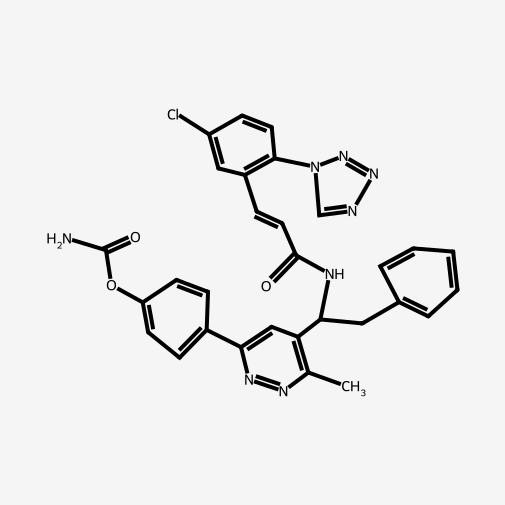 Cc1nnc(-c2ccc(OC(N)=O)cc2)cc1C(Cc1ccccc1)NC(=O)C=Cc1cc(Cl)ccc1-n1cnnn1